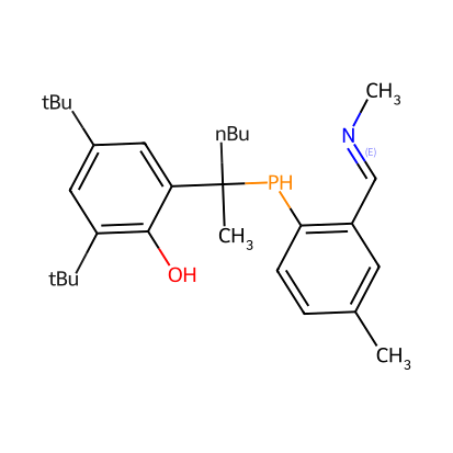 CCCCC(C)(Pc1ccc(C)cc1/C=N/C)c1cc(C(C)(C)C)cc(C(C)(C)C)c1O